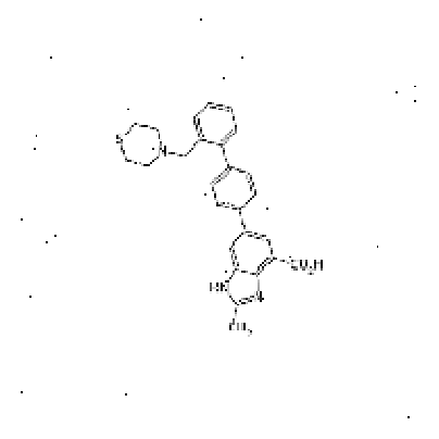 Cc1nc2c(C(=O)O)cc(-c3ccc(-c4ccccc4CN4CCSCC4)cc3)cc2[nH]1